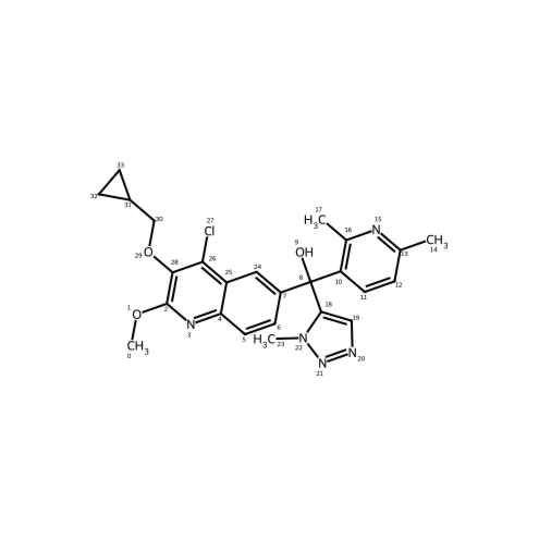 COc1nc2ccc(C(O)(c3ccc(C)nc3C)c3cnnn3C)cc2c(Cl)c1OCC1CC1